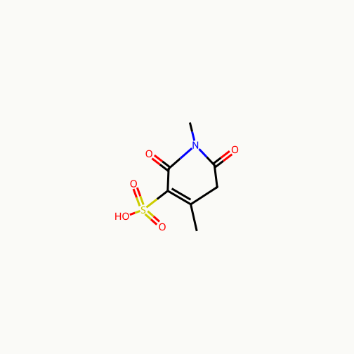 CC1=C(S(=O)(=O)O)C(=O)N(C)C(=O)C1